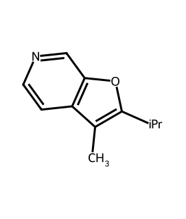 Cc1c(C(C)C)oc2cnccc12